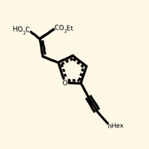 CCCCCCC#Cc1ccc(C=C(C(=O)O)C(=O)OCC)o1